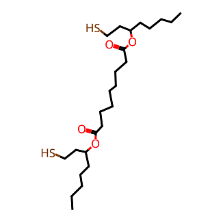 CCCCCC(CCS)OC(=O)CCCCCCCC(=O)OC(CCS)CCCCC